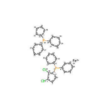 Clc1cc[c-](P(c2ccccc2)c2ccccc2)c1Cl.[Fe+2].c1ccc(P(c2ccccc2)[c-]2cccc2)cc1